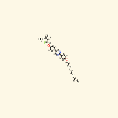 CCCCCCCCCCCOc1ccc(-c2ncc(-c3ccc(OCC(F)CC(C)C)cc3)cn2)cc1